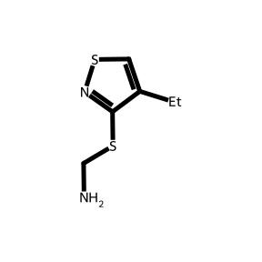 CCc1csnc1SCN